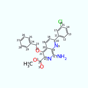 COC(=O)c1nc(N)c2nc(-c3cccc(Cl)c3)ccc2c1OCc1ccccc1